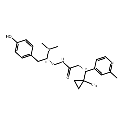 Cc1cc([C@@H](CC(=O)NC[C@H](Cc2ccc(O)cc2)N(C)C)C2(C(F)(F)F)CC2)ccn1